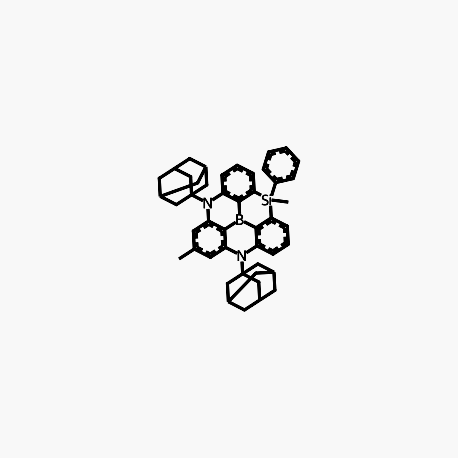 Cc1cc2c3c(c1)N(C14CC5CC(CC(C5)C1)C4)c1cccc4c1B3c1c(cccc1[Si]4(C)c1ccccc1)N2C12CC3CC(CC(C3)C1)C2